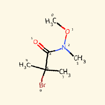 CON(C)C(=O)C(C)(C)Br